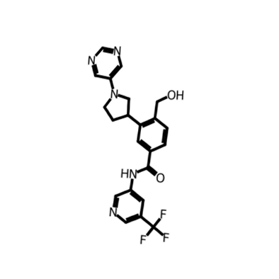 O=C(Nc1cncc(C(F)(F)F)c1)c1ccc(CO)c(C2CCN(c3cncnc3)C2)c1